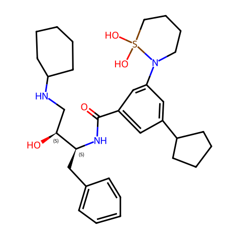 O=C(N[C@@H](Cc1ccccc1)[C@@H](O)CNC1CCCCC1)c1cc(C2CCCC2)cc(N2CCCCS2(O)O)c1